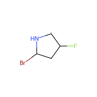 FC1[CH]NC(Br)C1